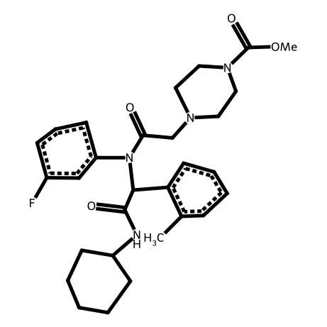 COC(=O)N1CCN(CC(=O)N(c2cccc(F)c2)C(C(=O)NC2CCCCC2)c2ccccc2C)CC1